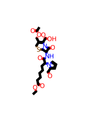 CCOC(=O)CCCCCC(C(=O)NC1C(=O)N2C(C(=O)O)=C(COC(C)=O)CSC12)n1cccc1C=O